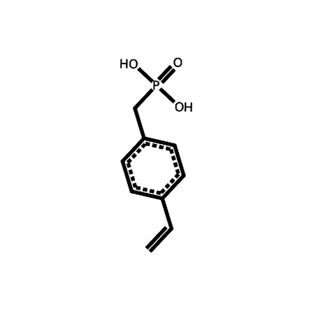 C=Cc1ccc(CP(=O)(O)O)cc1